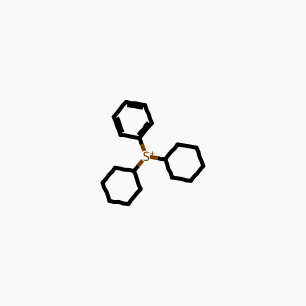 c1ccc([S+](C2CCCCC2)C2CCCCC2)cc1